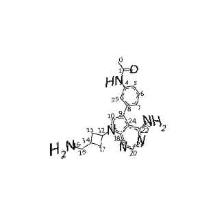 CC(=O)Nc1cccc(-c2cn(C3CC(CN)C3)c3ncnc(N)c23)c1